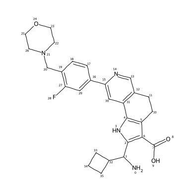 NC(c1[nH]c2c(c1C(=O)O)CCc1cnc(-c3ccc(CN4CCOCC4)c(F)c3)cc1-2)C1CCC1